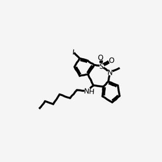 CCCCCCNC1c2ccccc2N(C)S(=O)(=O)c2cc(I)ccc21